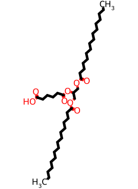 CCCCCCCCCCCCCCCC(=O)OCC(COC(=O)CCCCCCCCCCCCCCC)OC(=O)CCCCC(=O)O